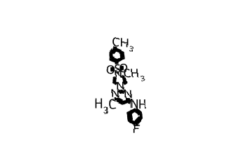 Cc1ccc(S(=O)(=O)N2CCN(c3nc(C)cc(Nc4ccc(F)cc4)n3)CC2C)cc1